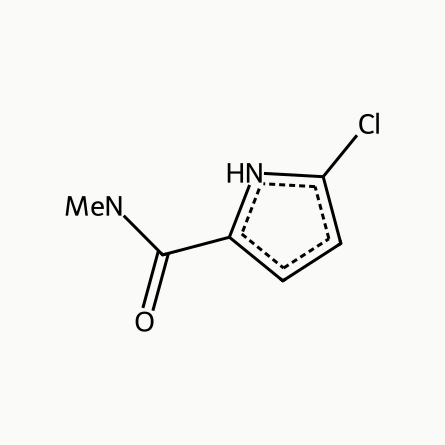 CNC(=O)c1ccc(Cl)[nH]1